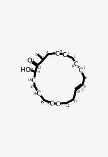 CC1CCCCCCC/C=C/CCCCCCCCC(O)C1=O